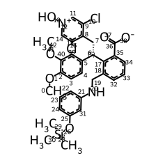 COc1ccc([C@H](Cc2c(Cl)c[n+](O)cc2Cl)c2c(CNc3cccc(O[Si](C)(C)C)c3)cccc2C(=O)[O-])cc1OC